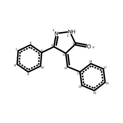 O=C1NN=C(c2ccccc2)C1=Cc1ccccc1